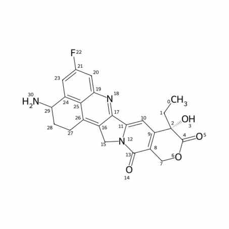 CC[C@@]1(O)C(=O)OCc2c1cc1n(c2=O)Cc2c-1nc1cc(F)cc3c1c2CCC3N